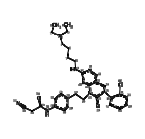 CCN(CC)CCCCNc1ncc2cc(-c3ccccc3Cl)c(=O)n(CCc3ccc(NC(=O)CC#N)cc3)c2n1